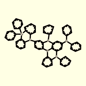 c1ccc(N(c2ccccc2)c2cc3c4c(c2)N(c2ccccc2)c2cc(N5c6ccccc6[Si](c6ccccc6)(c6ccccc6)c6ccccc65)ccc2B4c2ccccc2N3c2ccccc2)cc1